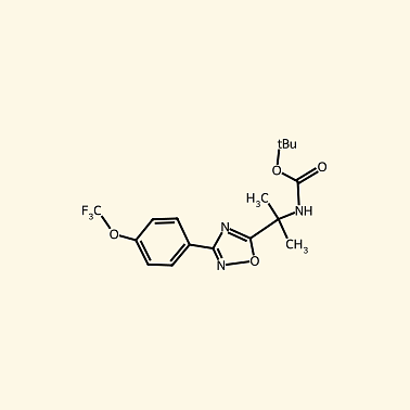 CC(C)(C)OC(=O)NC(C)(C)c1nc(-c2ccc(OC(F)(F)F)cc2)no1